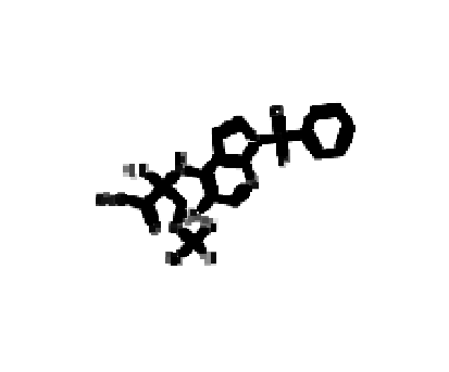 [2H]C([2H])([2H])OCC(C)(Nc1c([N+](=O)[O-])cnc2c1ccn2S(=O)(=O)c1ccccc1)C(=O)OC